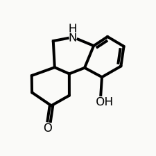 O=C1CCC2CNC3=CC=CC(O)C3C2C1